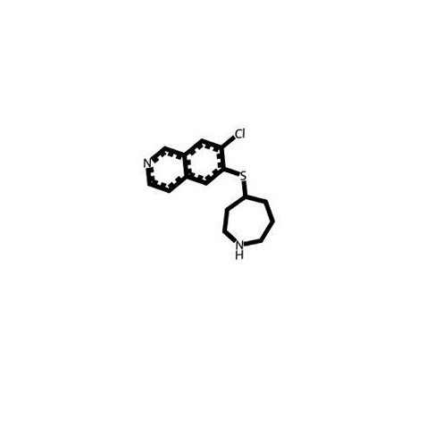 Clc1cc2cnccc2cc1SC1CCCNCC1